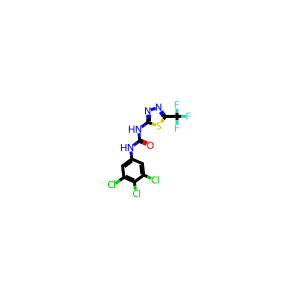 O=C(Nc1cc(Cl)c(Cl)c(Cl)c1)Nc1nnc(C(F)(F)F)s1